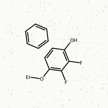 CCOc1ccc(O)c(F)c1F.c1ccccc1